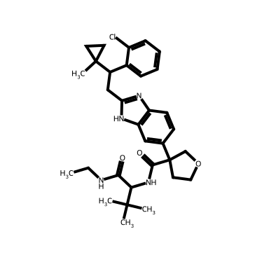 CCNC(=O)C(NC(=O)C1(c2ccc3nc(CC(c4ccccc4Cl)C4(C)CC4)[nH]c3c2)CCOC1)C(C)(C)C